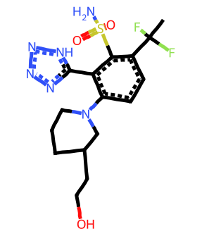 CC(F)(F)c1ccc(N2CCCC(CCO)C2)c(-c2nnn[nH]2)c1S(N)(=O)=O